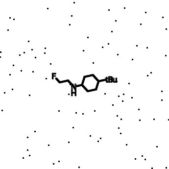 CC(C)(C)C1CCC(NCCF)CC1